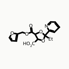 CCC1(c2ccccn2)OC(C(=O)O)C(C(=O)OCc2ccco2)O1